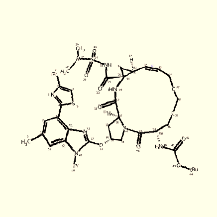 Cc1cc(-c2nc(C(C)C)cs2)c2nc(O[C@@H]3C[C@H]4C(=O)N[C@]5(C(=O)NS(=O)(=O)N(C)C)C[C@H]5/C=C\CCCCC[C@H](NC(=O)OC(C)(C)C)C(=O)N4C3)n(C(C)C)c2c1